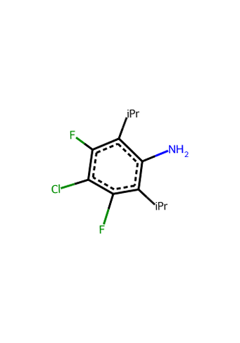 CC(C)c1c(N)c(C(C)C)c(F)c(Cl)c1F